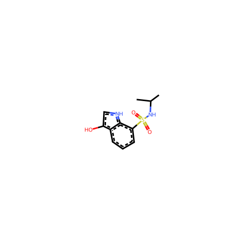 CC(C)NS(=O)(=O)c1cccc2c(O)c[nH]c12